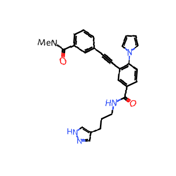 CNC(=O)c1cccc(C#Cc2cc(C(=O)NCCCc3cn[nH]c3)ccc2-n2cccc2)c1